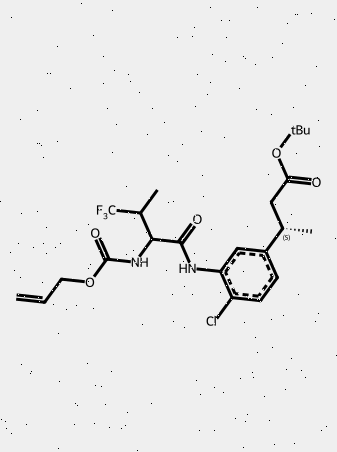 C=CCOC(=O)NC(C(=O)Nc1cc([C@@H](C)CC(=O)OC(C)(C)C)ccc1Cl)C(C)C(F)(F)F